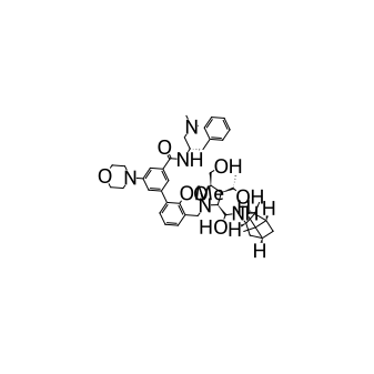 COc1c(CN2O[C@@H](CO)[C@@H]([C@H](C)O)[C@H]2C(O)N[C@H]2C[C@H]3C[C@@H]([C@@H]2C)C3(C)C)cccc1-c1cc(C(=O)N[C@@H](Cc2ccccc2)CN(C)C)cc(N2CCOCC2)c1